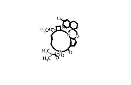 CO[C@H]1/C=C/CC[C@@H](C(=O)N(C)C)S(=O)(=O)CC(=O)c2ccc3c(c2)N(C[C@@H]2CC[C@H]21)C[C@@]1(CCCc2cc(Cl)ccc21)CO3